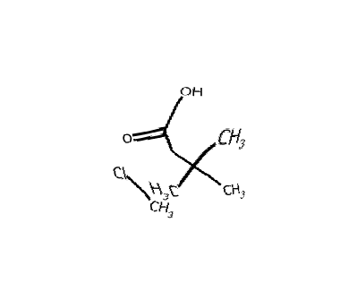 CC(C)(C)C(=O)O.CCl